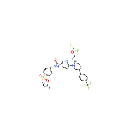 CCS(=O)(=O)c1ccc(CNC(=O)c2ccc(N3CC(c4ccc(C(F)(F)F)cc4)CC[C@H]3CCOC(F)F)nc2)cc1